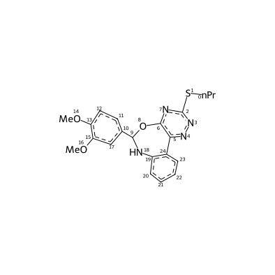 CCCSc1nnc2c(n1)OC(c1ccc(OC)c(OC)c1)Nc1ccccc1-2